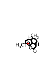 C[C@@H]1CC[C@H]2CC(=O)O[C@@H]3O[C@@]4(C)CC[C@@H]1[C@@]23OO4